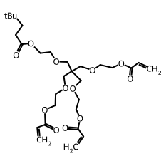 C=CC(=O)OCCOCC(COCCOC(=O)C=C)(COCCOC(=O)C=C)COCCOC(=O)CCC(C)(C)C